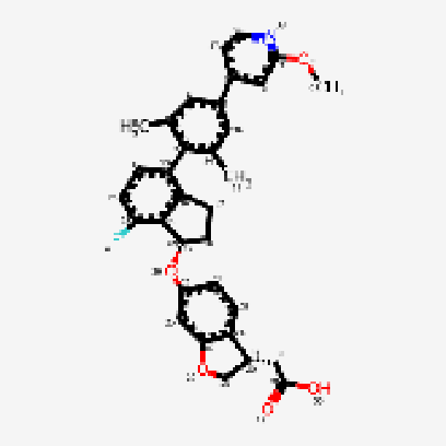 COc1cc(-c2cc(C)c(-c3ccc(F)c4c3CC[C@H]4Oc3ccc4c(c3)OC[C@H]4CC(=O)O)c(C)c2)ccn1